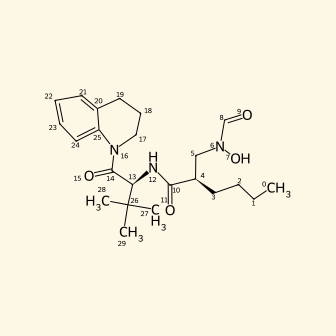 CCCC[C@H](CN(O)C=O)C(=O)N[C@H](C(=O)N1CCCc2ccccc21)C(C)(C)C